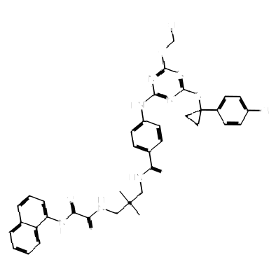 CC(C)(CNC(=O)C(=O)Nc1cccc2ccccc12)CNC(=O)c1ccc(Nc2nc(NC3(c4ccc(Cl)cc4)CC3)nc(OCC(F)(F)F)n2)cc1